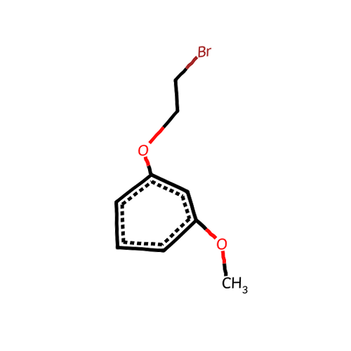 COc1cccc(OCCBr)c1